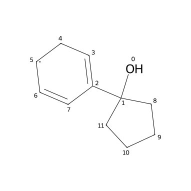 OC1(C2=CC[CH]C=C2)CCCC1